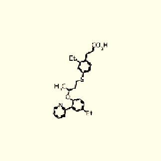 CCc1ccc(OC(C)CCSc2ccc(CCC(=O)O)c(CC)c2)c(-c2ccccn2)c1